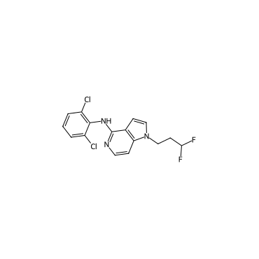 FC(F)CCn1ccc2c(Nc3c(Cl)cccc3Cl)nccc21